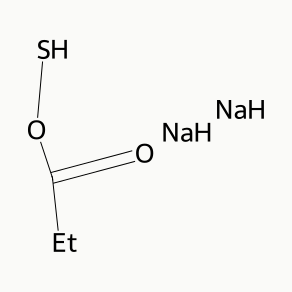 CCC(=O)OS.[NaH].[NaH]